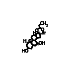 CCC(=O)O[C@H]1[C@H](Br)CC2C3C(CC[C@@H]21)[C@@]1(C)CC[C@H](O)CC1=C[C@@H]3O